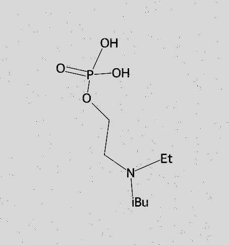 CCC(C)N(CC)CCOP(=O)(O)O